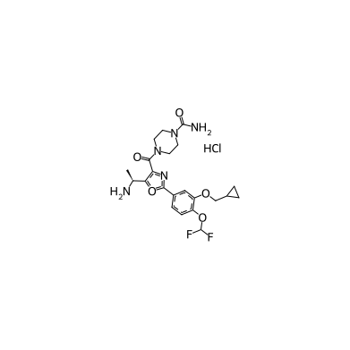 C[C@H](N)c1oc(-c2ccc(OC(F)F)c(OCC3CC3)c2)nc1C(=O)N1CCN(C(N)=O)CC1.Cl